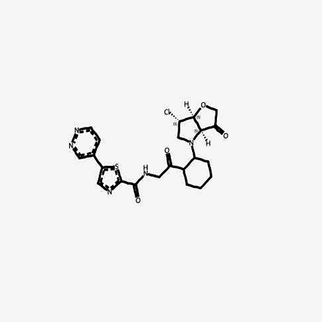 O=C(NCC(=O)C1CCCCC1N1C[C@H](Cl)[C@H]2OCC(=O)[C@H]21)c1ncc(-c2ccnnc2)s1